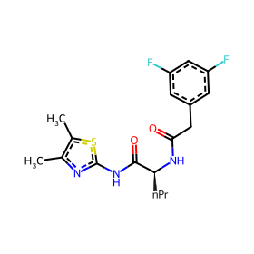 CCC[C@H](NC(=O)Cc1cc(F)cc(F)c1)C(=O)Nc1nc(C)c(C)s1